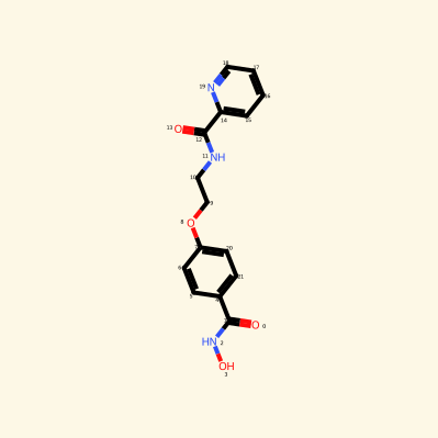 O=C(NO)c1ccc(OCCNC(=O)c2ccccn2)cc1